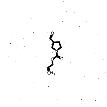 C=CCOC(=O)N1CCC(C=O)C1